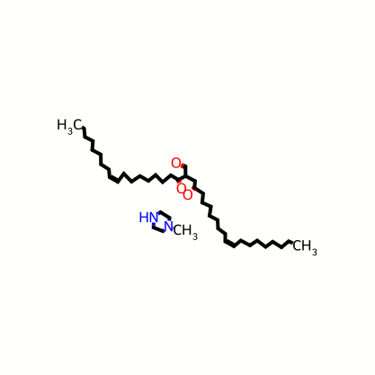 CCCCCCCC/C=C\CCCCCCCC(=O)CC(C=O)C(=O)CCCCCCC/C=C\CCCCCCCC.CN1CCNCC1